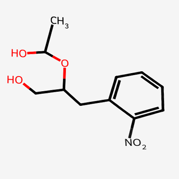 CC(O)OC(CO)Cc1ccccc1[N+](=O)[O-]